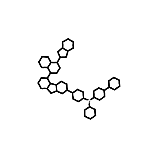 C1CCC(C2CCC(N(C3CCCCC3)C3CCC(C4CCC5C(C4)CC4CCCC(C6CCC(C7CC8CCCCC8C7)C7CCCCC76)C45)CC3)CC2)CC1